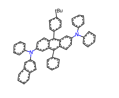 CC(C)(C)c1ccc(-c2c3ccc(N(c4ccccc4)c4ccc5ccccc5c4)cc3c(-c3ccccc3)c3ccc(N(c4ccccc4)c4ccccc4)cc23)cc1